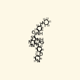 O=C(Nc1ccc(CN2CCCCC2)cc1)c1sc2ncnc3c2c1NC(=O)N3c1ccc(Oc2cccnc2)cc1